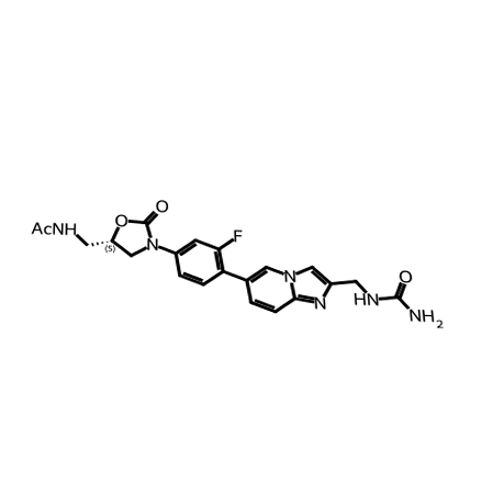 CC(=O)NC[C@H]1CN(c2ccc(-c3ccc4nc(CNC(N)=O)cn4c3)c(F)c2)C(=O)O1